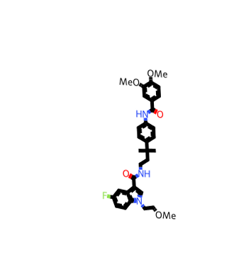 COCCn1cc(C(=O)NCCC(C)(C)c2ccc(NC(=O)c3ccc(OC)c(OC)c3)cc2)c2cc(F)ccc21